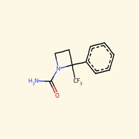 NC(=O)N1CCC1(c1ccccc1)C(F)(F)F